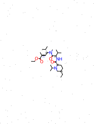 CCOC(=O)/C(C)=C/[C@H](C(C)C)N(C)C(=O)[C@@H](NC(=O)[C@H]1CC[C@@H](CC)CN1C(C)C)C(C)C